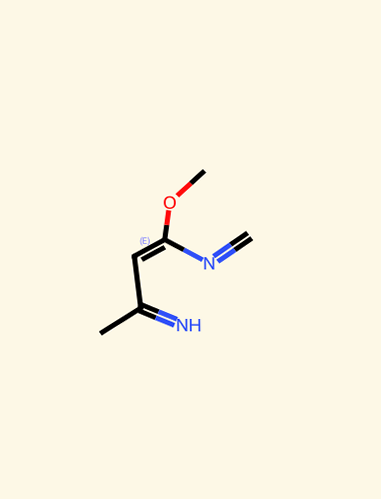 C=N/C(=C\C(C)=N)OC